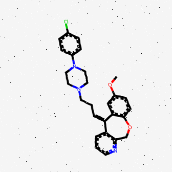 COc1ccc2c(c1)C(=CCCN1CCN(c3ccc(Cl)cc3)CC1)c1cccnc1CO2